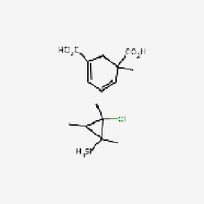 CC1(C(=O)O)C=CC=C(C(=O)O)C1.CC1C(C)([SiH3])C1(C)Cl